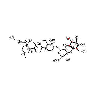 CC1(C)CC[C@]2(C(=O)NCCN)C(O)CC3(C)C(=CCC4C5(C)CCC(OC6OC(C(=O)O)[C@@H](O)[C@H](O[C@@H]7OCC(O)[C@@H](O)[C@@H]7O)[C@H]6O[C@@H]6OC(CO)C(O)[C@H](O)C6O)[C@](C)(C=O)C5CCC43C)[C@H]2C1